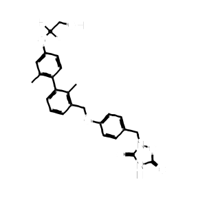 Cc1cc(OC(F)(F)CO)ccc1-c1cccc(COc2ccc(Cn3oc(=O)[nH]c3=O)cc2)c1C